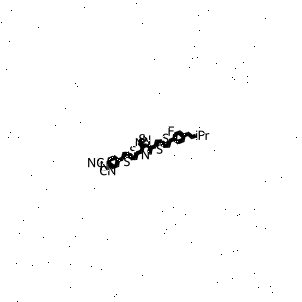 CC(C)CCc1ccc(-c2cc3sc(-c4cnc(-c5cc6sc(-c7ccc(N(C#N)C#N)cc7)cc6s5)c5nsnc45)cc3s2)c(F)c1